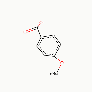 CCCCOc1ccc(C([O])=O)cc1